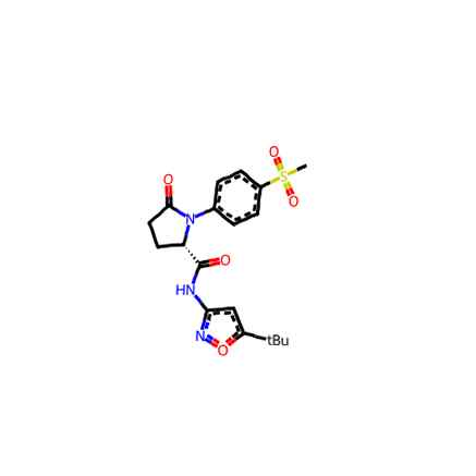 CC(C)(C)c1cc(NC(=O)[C@@H]2CCC(=O)N2c2ccc(S(C)(=O)=O)cc2)no1